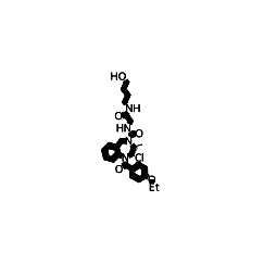 CCOc1ccc(C(=O)N2C[C@@H](C)N(C(=O)NCC(=O)NCCCCO)Cc3ccccc32)c(Cl)c1